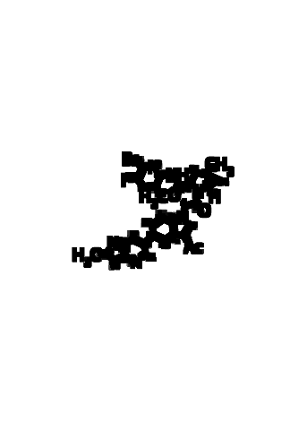 CC(=O)c1cn(CC(=O)N2[C@H](C(=O)Nc3nc(Br)c(F)cc3C)C[C@@]3(C)C[C@@H]23)c2ccc(-c3cnc4cc(C)nn4c3)cc12